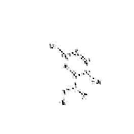 O=C(CBr)c1cc(Br)ccc1Br